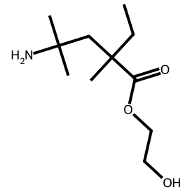 CCC(C)(CC(C)(C)N)C(=O)OCCO